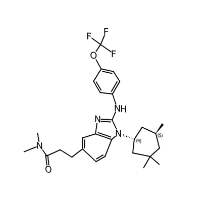 C[C@@H]1C[C@@H](n2c(Nc3ccc(OC(F)(F)F)cc3)nc3cc(CCC(=O)N(C)C)ccc32)CC(C)(C)C1